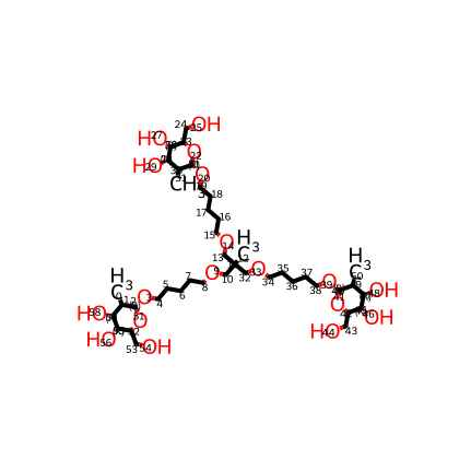 CC1[C@H](OCCCCCOCC(C)(COCCCCCO[C@@H]2OC(CO)[C@H](O)[C@H](O)C2C)COCCCCCO[C@@H]2OC(CO)[C@H](O)[C@H](O)C2C)OC(CO)[C@H](O)[C@@H]1O